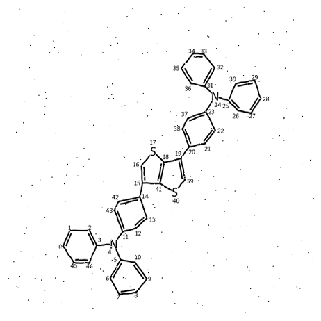 c1ccc(N(c2ccccc2)c2ccc(-c3csc4c(-c5ccc(N(c6ccccc6)c6ccccc6)cc5)csc34)cc2)cc1